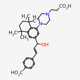 CC1(C)CCC(C)(C)c2c(N3CCN(CCC(=O)O)CC3)cc(C(O)C=Cc3ccc(C(=O)O)cc3)cc21